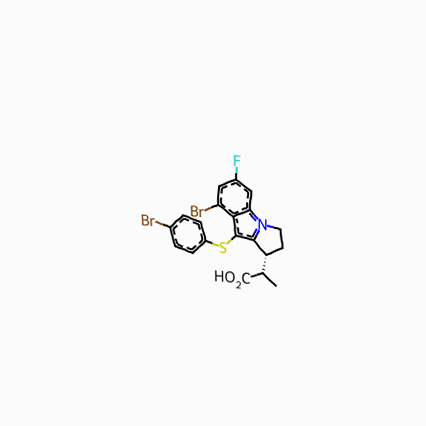 CC(C(=O)O)[C@H]1CCn2c1c(Sc1ccc(Br)cc1)c1c(Br)cc(F)cc12